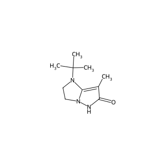 Cc1c2n([nH]c1=O)CCN2C(C)(C)C